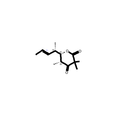 C/C=C/[C@H](C)[C@@H]1OC(=O)C(C)(C)C(=O)[C@@H]1C